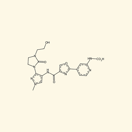 Cn1cc(NC(=O)c2coc(-c3ccnc(NC(=O)O)c3)n2)c(N2CCN(CCO)C2=O)n1